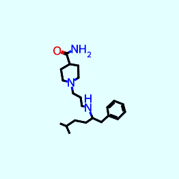 CC(C)CCC(Cc1ccccc1)NCCCN1CCC(C(N)=O)CC1